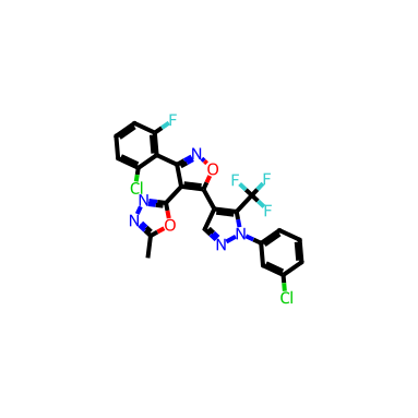 Cc1nnc(-c2c(-c3c(F)cccc3Cl)noc2-c2cnn(-c3cccc(Cl)c3)c2C(F)(F)F)o1